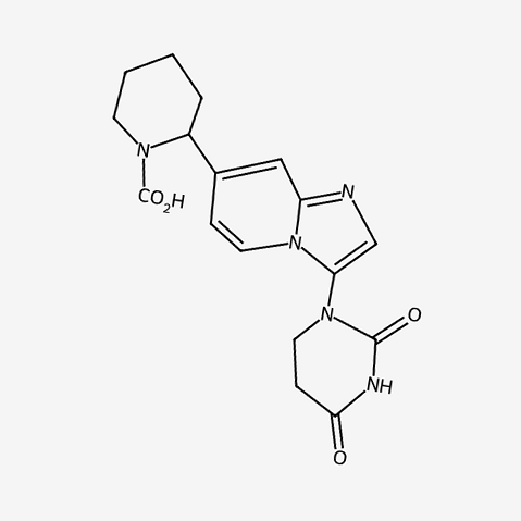 O=C1CCN(c2cnc3cc(C4CCCCN4C(=O)O)ccn23)C(=O)N1